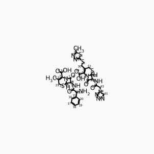 CC1=C(C(=O)O)N2C(=O)[C@@H](NC(=O)[C@H](N)c3ccccc3)[C@H]2SC1.Cc1nnc(SCC2=C(C(=O)O)N3C(=O)[C@@H](NC(=O)Cn4cnnn4)[C@H]3SC2)s1